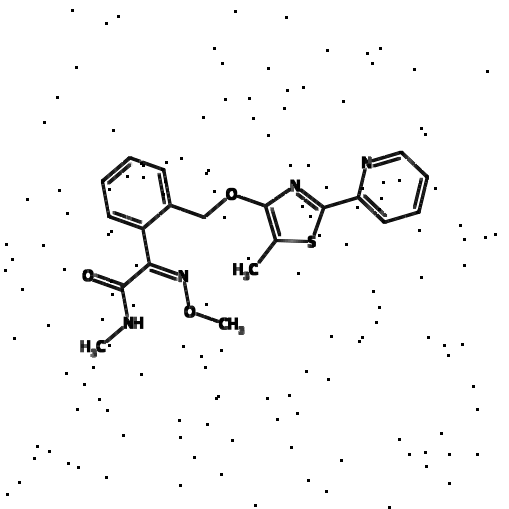 CNC(=O)C(=NOC)c1ccccc1COc1nc(-c2ccccn2)sc1C